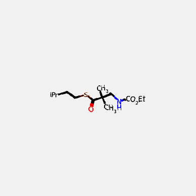 CCOC(=O)NCC(C)(C)C(=O)SCCC(C)C